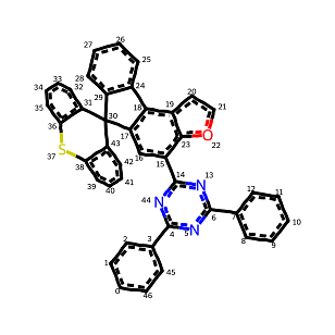 c1ccc(-c2nc(-c3ccccc3)nc(-c3cc4c(c5ccoc35)-c3ccccc3C43c4ccccc4Sc4ccccc43)n2)cc1